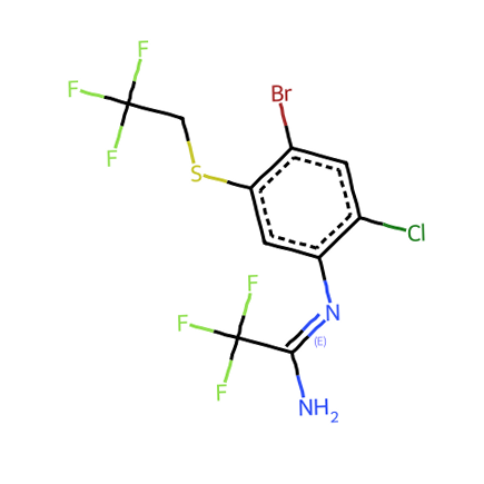 N/C(=N/c1cc(SCC(F)(F)F)c(Br)cc1Cl)C(F)(F)F